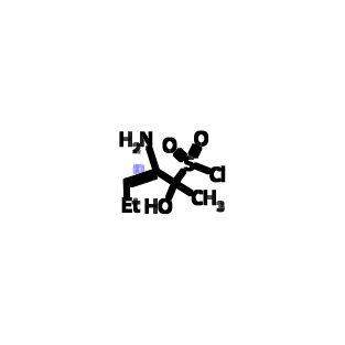 CC/C=C(/N)C(C)(O)S(=O)(=O)Cl